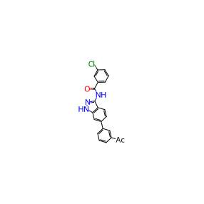 CC(=O)c1cccc(-c2ccc3c(NC(=O)c4cccc(Cl)c4)n[nH]c3c2)c1